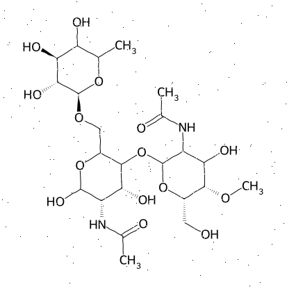 CO[C@H]1C(O)C(NC(C)=O)C(OC2C(CO[C@@H]3OC(C)C(O)[C@H](O)[C@H]3O)OC(O)[C@@H](NC(C)=O)[C@H]2O)O[C@H]1CO